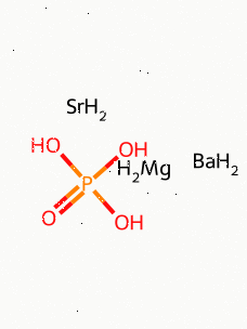 O=P(O)(O)O.[BaH2].[MgH2].[SrH2]